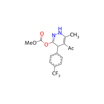 COC(=O)OC1=NNC(C)=C(C(C)=O)C1c1ccc(C(F)(F)F)cc1